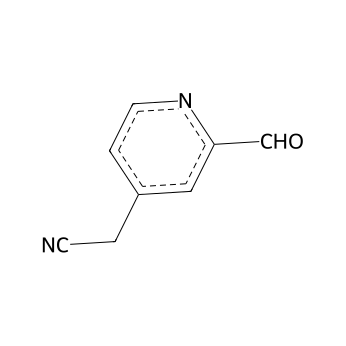 N#CCc1ccnc(C=O)c1